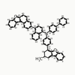 CC1C=c2c(oc3ccccc23)=C(c2ccc(N(c3ccc(-c4ccccc4)cc3)c3ccc(-c4ccc5c(ccc6oc7ccccc7c65)c4)c4ccccc34)cc2)C1